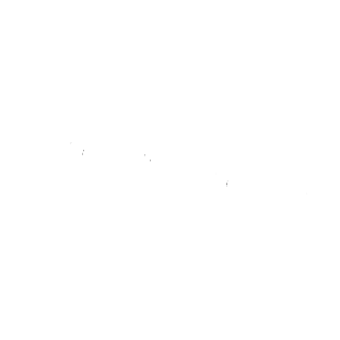 CCCCCCCCSCC(C)C(=O)OCCCCCN(CCO)CCCCCCCOC(=O)C(CCCCCCCC)CCCCCCCC